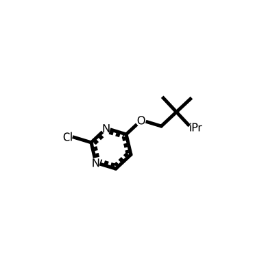 CC(C)C(C)(C)COc1ccnc(Cl)n1